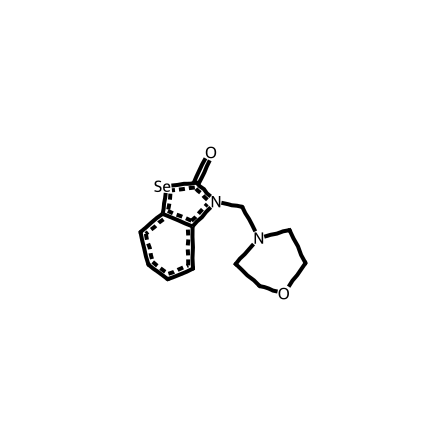 O=c1[se]c2ccccc2n1CN1CCOCC1